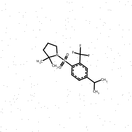 CC(C)c1ccc(S(=O)(=O)N2CCCC2(C)C)c(C(F)(F)F)c1